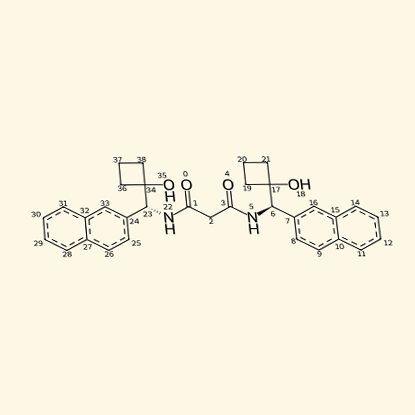 O=C(CC(=O)N[C@H](c1ccc2ccccc2c1)C1(O)CCC1)N[C@H](c1ccc2ccccc2c1)C1(O)CCC1